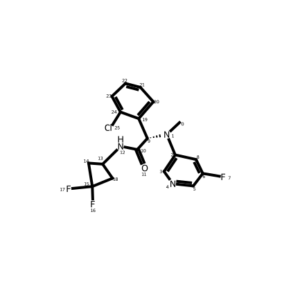 CN(c1cncc(F)c1)[C@H](C(=O)NC1CC(F)(F)C1)c1ccccc1Cl